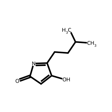 CC(C)CCC1=NC(=O)C=C1O